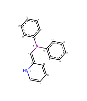 C1=CNC(=CP(c2ccccc2)c2ccccc2)C=C1